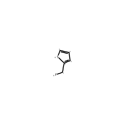 F[CH]c1cccs1